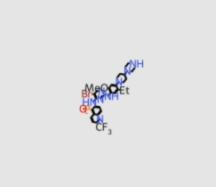 CCc1cc(Nc2ncc(Br)c(Nc3ccc4nc(C(F)(F)F)ccc4c3P(C)(C)=O)n2)c(OC)cc1N1CCC(N2CCNCC2)CC1